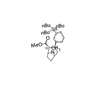 CCC[CH2][Sn]([CH2]CCC)([CH2]CCC)[c]1cccc([C@H]2CC3CCC([C@H]2C(=O)OC)N3C)c1